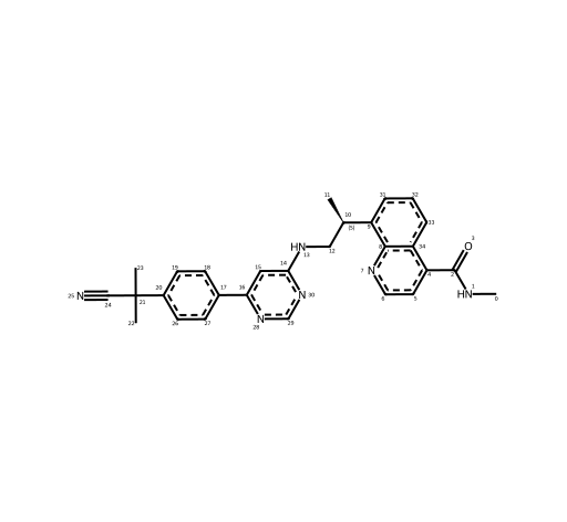 CNC(=O)c1ccnc2c([C@H](C)CNc3cc(-c4ccc(C(C)(C)C#N)cc4)ncn3)cccc12